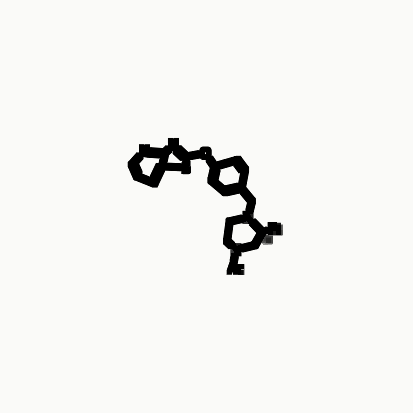 CC[C@H]1CN(C(C)=O)CCN1Cc1ccc(Oc2nc3ncccc3s2)cc1